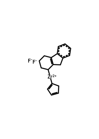 C1=CC[C]([Zr+2][CH]2CCCC3=C2Cc2ccccc23)=C1.[F-].[F-]